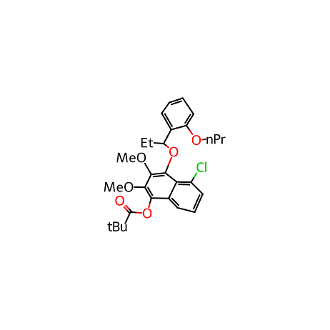 CCCOc1ccccc1C(CC)Oc1c(OC)c(OC)c(OC(=O)C(C)(C)C)c2cccc(Cl)c12